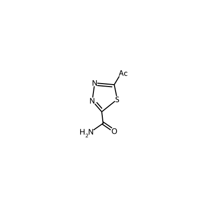 CC(=O)c1nnc(C(N)=O)s1